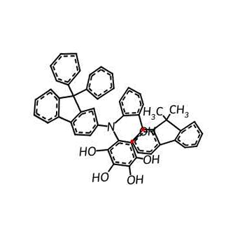 CC1(C)c2ccccc2-c2cccc(-c3ccccc3N(c3ccc4c(c3)C(c3ccccc3)(c3ccccc3)c3ccccc3-4)c3c(O)c(O)c(O)c(O)c3O)c21